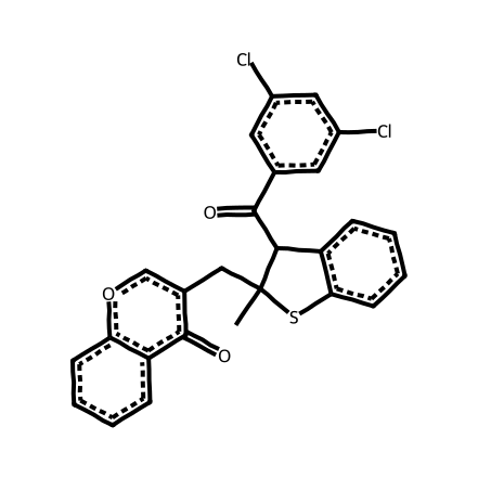 CC1(Cc2coc3ccccc3c2=O)Sc2ccccc2C1C(=O)c1cc(Cl)cc(Cl)c1